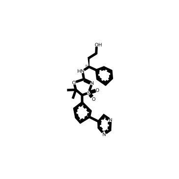 CC1(C)OC(N[C@@H](CCO)c2ccccc2)=NS(=O)(=O)C1c1cccc(-c2cncnc2)c1